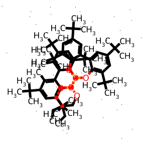 CCC1(CC)COP(Oc2c(C(C)(C)C)cc(C(C)(C)C)c(C)c2-c2c(C)c(C(C)(C)C)cc(C(C)(C)C)c2Op2oc3c(C(C)(C)C)cc(C(C)(C)C)cc3c3cc(C(C)(C)C)cc(C(C)(C)C)c3o2)OC1